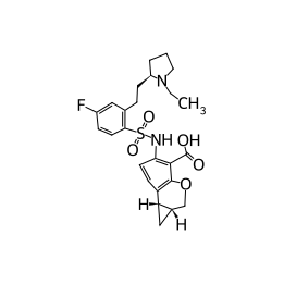 CCN1CCC[C@@H]1CCc1cc(F)ccc1S(=O)(=O)Nc1ccc2c(c1C(=O)O)OC[C@@H]1C[C@H]21